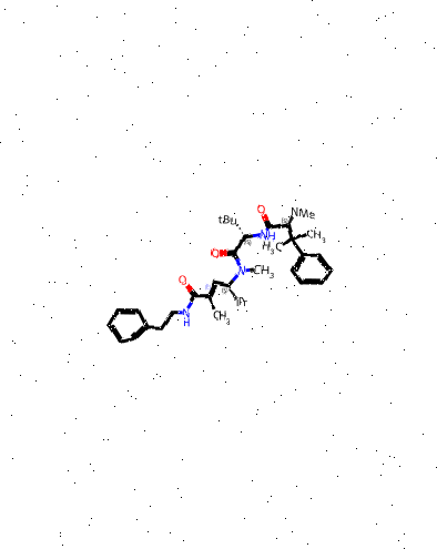 CN[C@H](C(=O)N[C@H](C(=O)N(C)[C@H](/C=C(\C)C(=O)NCCc1ccccc1)C(C)C)C(C)(C)C)C(C)(C)c1ccccc1